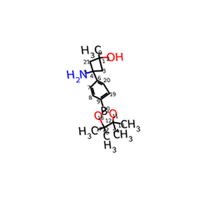 CC1(O)CC(N)(c2ccc(B3OC(C)(C)C(C)(C)O3)cc2)C1